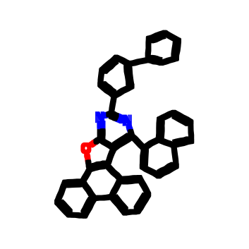 c1ccc(-c2cccc(-c3nc(-c4cccc5ccccc45)c4c(n3)oc3c5ccccc5c5ccccc5c34)c2)cc1